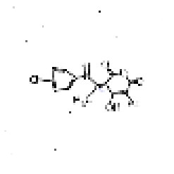 CC(=O)C1=C(O)/C(=C(\C)Nc2ccc(Cl)cc2)C(=O)OC1=O